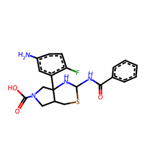 Nc1ccc(F)c(C23CN(C(=O)O)CC2CSC(NC(=O)c2ccccc2)N3)c1